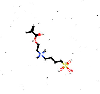 C=C(C)C(=O)OCC[N+](C)(C)CCCCS(=O)(=O)O